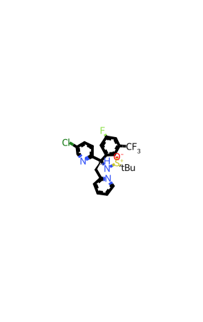 CC(C)(C)[S+]([O-])N[C@@](Cc1ccccn1)(c1cc(F)cc(C(F)(F)F)c1)c1ccc(Cl)cn1